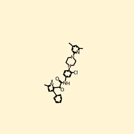 Cc1cc(C)nc(N2CCN(c3ccc(NC(=O)C(=O)c4c(-c5ccccc5)cc(C)n4C)cc3Cl)CC2)c1